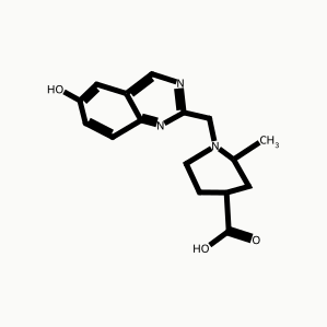 CC1CC(C(=O)O)CCN1Cc1ncc2cc(O)ccc2n1